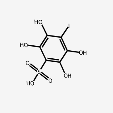 O=S(=O)(O)c1c(O)c(O)c(I)c(O)c1O